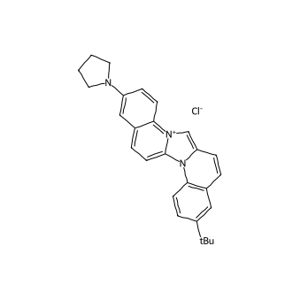 CC(C)(C)c1ccc2c(ccc3c[n+]4c5ccc(N6CCCC6)cc5ccc4n32)c1.[Cl-]